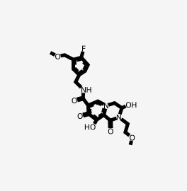 COCCN1C(=O)c2c(O)c(=O)c(C(=O)NCc3ccc(F)c(COC)c3)cn2CC1O